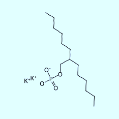 CCCCCCC(CCCCCC)COP(=O)([O-])[O-].[K+].[K+]